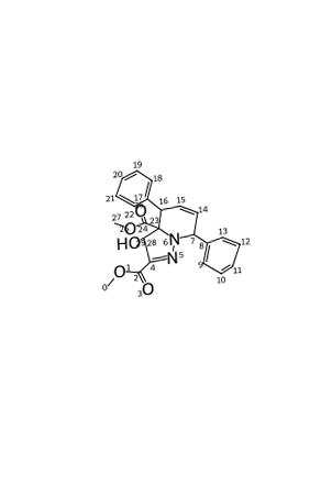 COC(=O)C1=NN2C(c3ccccc3)C=CC(c3ccccc3)C2(C(=O)OC)C1O